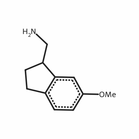 COc1ccc2c(c1)C(CN)CC2